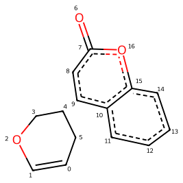 C1=COCCC1.O=c1ccc2ccccc2o1